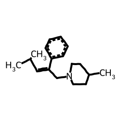 CC(C)/C=C(/CN1CCC(C)CC1)c1ccccc1